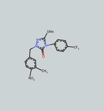 CSc1nn(Cc2ccc([N+](=O)[O-])c(C)c2)c(=O)n1-c1ccc(C(F)(F)F)cc1